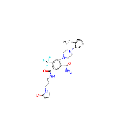 Cc1ccccc1N1CCN(c2cc(C(F)(F)F)c(C(=O)NCCCN3CCCC3=O)cc2C(N)=O)CC1